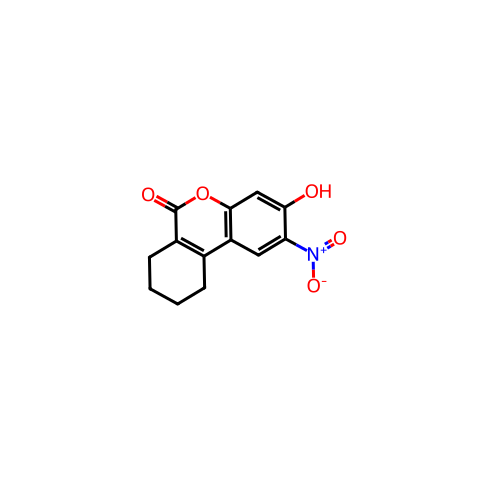 O=c1oc2cc(O)c([N+](=O)[O-])cc2c2c1CCCC2